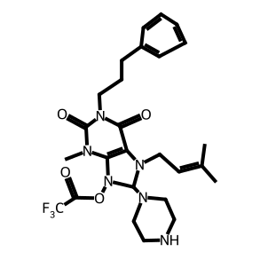 CC(C)=CCN1c2c(n(C)c(=O)n(CCCc3ccccc3)c2=O)N(OC(=O)C(F)(F)F)C1N1CCNCC1